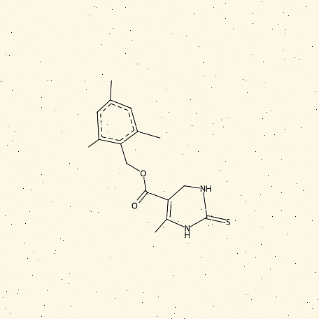 CC1=C(C(=O)OCc2c(C)cc(C)cc2C)CNC(=S)N1